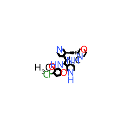 COc1c(Cl)cccc1Nc1c(-c2ccncc2C#C[C@H]2COCCN2C)[nH]c2c1C(=O)NCC2